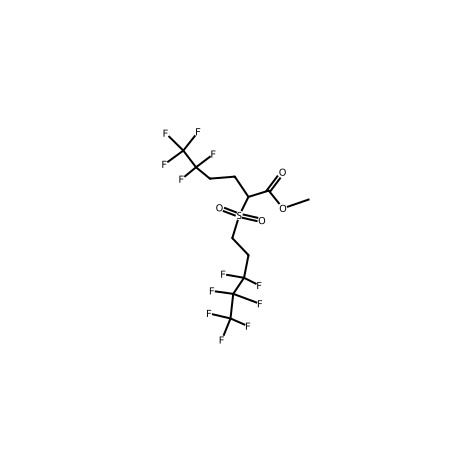 COC(=O)C(CCC(F)(F)C(F)(F)F)S(=O)(=O)CCC(F)(F)C(F)(F)C(F)(F)F